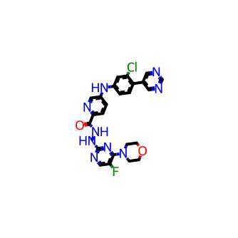 O=C(NNc1ncc(F)c(N2CCOCC2)n1)c1ccc(Nc2ccc(-c3cncnc3)c(Cl)c2)cn1